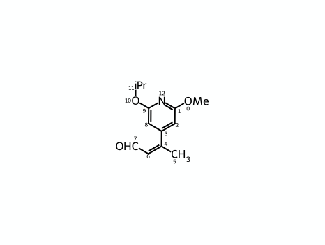 COc1cc(/C(C)=C\C=O)cc(OC(C)C)n1